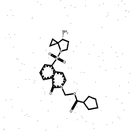 N[C@@H]1CCN(S(=O)(=O)c2cccc3c(=O)n(COC(=O)C4CCCC4)ccc23)C12CC2